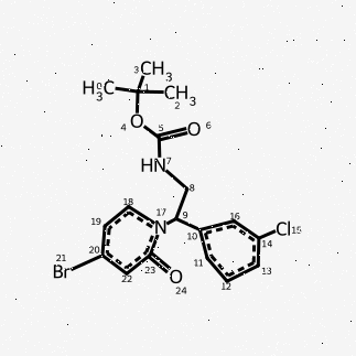 CC(C)(C)OC(=O)NCC(c1cccc(Cl)c1)n1ccc(Br)cc1=O